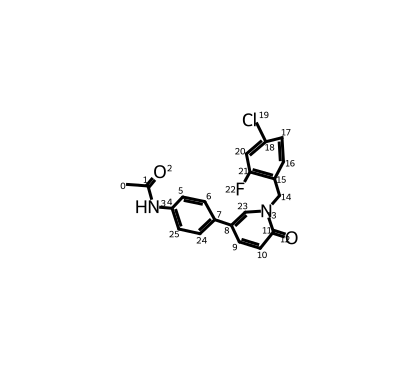 CC(=O)Nc1ccc(-c2ccc(=O)n(Cc3ccc(Cl)cc3F)c2)cc1